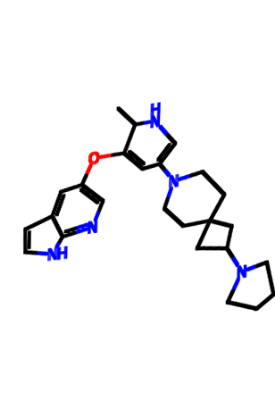 CC1NC=C(N2CCC3(CC2)CC(N2CCCC2)C3)C=C1Oc1cnc2[nH]ccc2c1